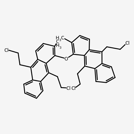 Cc1ccc2c(CCCl)c3ccccc3c(CCCl)c2c1Oc1c(C)ccc2c(CCCl)c3ccccc3c(CCCl)c12